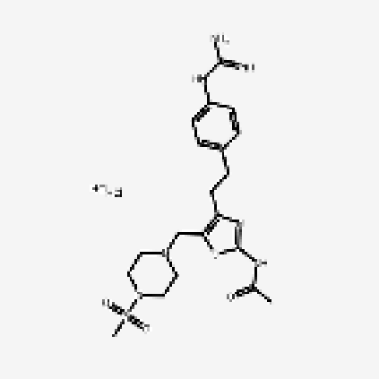 CC(=O)Nc1nc(CCc2ccc(NC(=N)N)cc2)c(CN2CCN(S(C)(=O)=O)CC2)s1.Cl.Cl